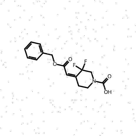 O=C(C=C1CCN(C(=O)O)CC1(F)F)OCc1ccccc1